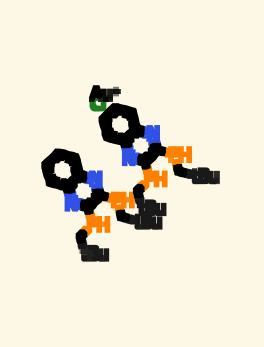 CC(C)(C)CPc1nc2ccccc2nc1PCC(C)(C)C.CC(C)(C)CPc1nc2ccccc2nc1PCC(C)(C)C.[Au+].[Cl-]